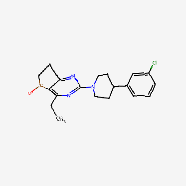 CCc1nc(N2CCC(c3cccc(Cl)c3)CC2)nc2c1[S+]([O-])CC2